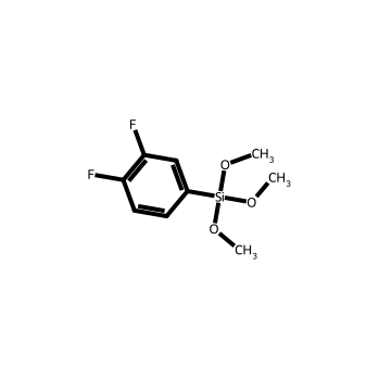 CO[Si](OC)(OC)c1ccc(F)c(F)c1